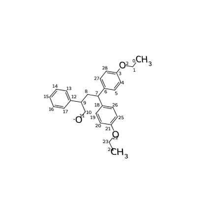 CCOc1ccc(C(CC(C[O])c2ccccc2)c2ccc(OCC)cc2)cc1